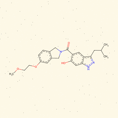 COCCOc1ccc2c(c1)CN(C(=O)c1cc3c(CC(C)C)n[nH]c3cc1O)C2